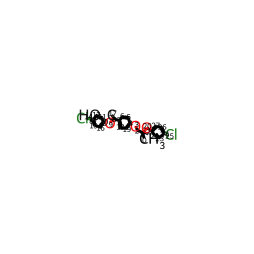 CC(COc1ccc(C(Oc2ccc(Cl)cc2)C(=O)O)cc1)Oc1ccc(Cl)cc1